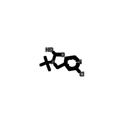 CC(C)(C)N(Cc1ccnc(Cl)c1)C(=O)O